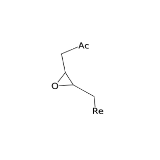 CC(=O)CC1OC1[CH2][Re]